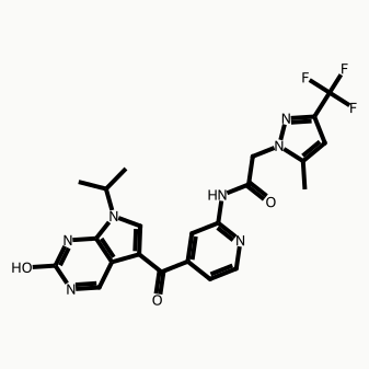 Cc1cc(C(F)(F)F)nn1CC(=O)Nc1cc(C(=O)c2cn(C(C)C)c3nc(O)ncc23)ccn1